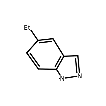 CCc1ccc2c(c1)C=N[N]2